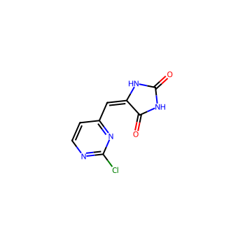 O=C1NC(=O)/C(=C\c2ccnc(Cl)n2)N1